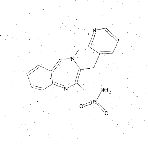 CC1=C(Cc2cccnc2)N(C)C=c2ccccc2=N1.N[SH](=O)=O